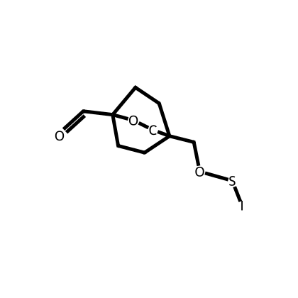 O=CC12CCC(COSI)(CC1)CO2